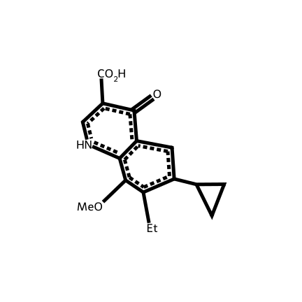 CCc1c(C2CC2)cc2c(=O)c(C(=O)O)c[nH]c2c1OC